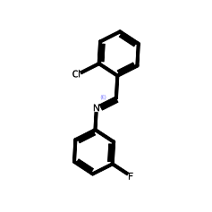 Fc1cccc(/N=C/c2ccccc2Cl)c1